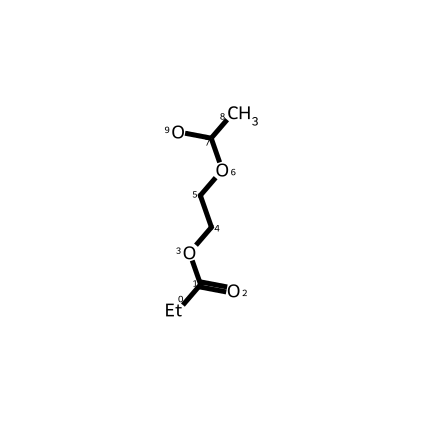 CCC(=O)OCCOC(C)[O]